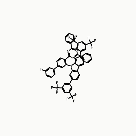 Fc1cccc(-c2ccc(-c3nc(-c4ccccc4)nc(-c4ccccc4)n3)c(-n3c4cc(-c5cc(C(F)(F)F)cc(C(F)(F)F)c5)ccc4c4ccc(-c5cc(C(F)(F)F)cc(C(F)(F)F)c5)cc43)c2)c1